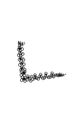 [Na+].[Na+].[Na+].[Na+].[Na+].[Na+].[O]=[W](=[O])([O-])[O-].[O]=[W](=[O])([O-])[O-].[O]=[W](=[O])([O-])[O-].[O]=[W](=[O])=[O].[O]=[W](=[O])=[O].[O]=[W](=[O])=[O].[O]=[W](=[O])=[O].[O]=[W](=[O])=[O].[O]=[W](=[O])=[O].[O]=[W](=[O])=[O].[O]=[W](=[O])=[O].[O]=[W](=[O])=[O]